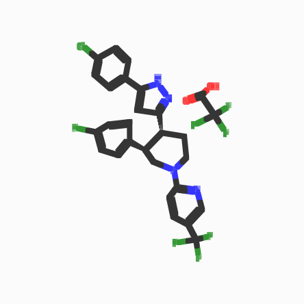 Fc1ccc([C@@H]2CN(c3ccc(C(F)(F)F)cn3)CC[C@H]2c2cc(-c3ccc(Cl)cc3)[nH]n2)cc1.O=C(O)C(F)(F)F